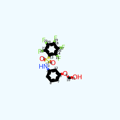 O=S(=O)(Nc1cccc(OCO)c1)c1c(F)c(F)c(F)c(F)c1F